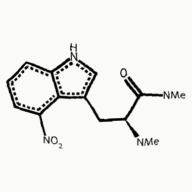 CNC(=O)[C@H](Cc1c[nH]c2cccc([N+](=O)[O-])c12)NC